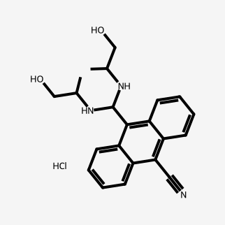 CC(CO)NC(NC(C)CO)c1c2ccccc2c(C#N)c2ccccc12.Cl